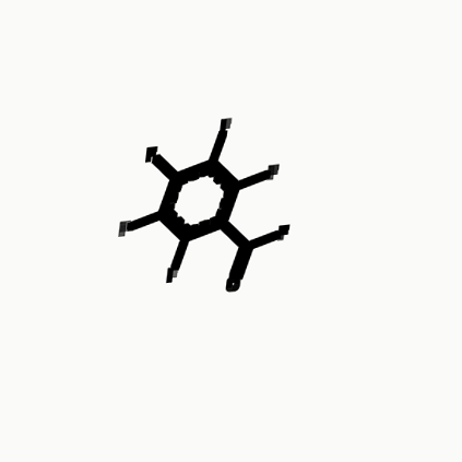 O=C(F)c1c(F)c(F)c(F)c(F)c1F